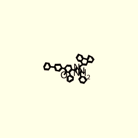 N/C(=N\C(=N/Cc1ccccc1)c1cc2ccccc2c2ccccc12)c1ccc(-c2ccc(-c3ccccc3)cc2)c2oc3ccccc3c12